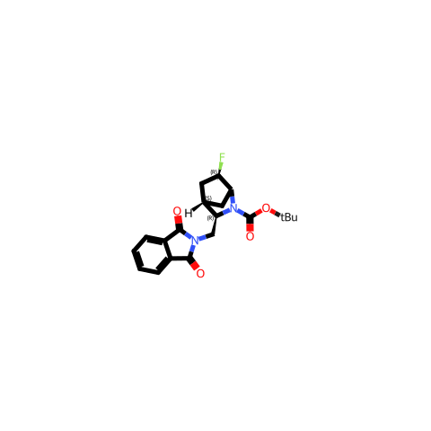 CC(C)(C)OC(=O)N1C2C[C@@H](C[C@H]2F)[C@@H]1CN1C(=O)c2ccccc2C1=O